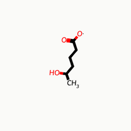 CC(O)CCCC([O])=O